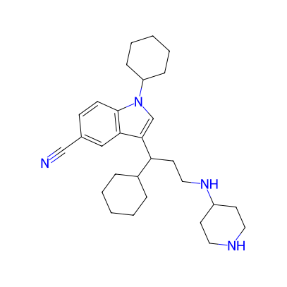 N#Cc1ccc2c(c1)c(C(CCNC1CCNCC1)C1CCCCC1)cn2C1CCCCC1